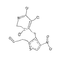 O=CCc1scc([N+](=O)[O-])c1SC1=C(Cl)C([O-])=NC[C+]1Cl